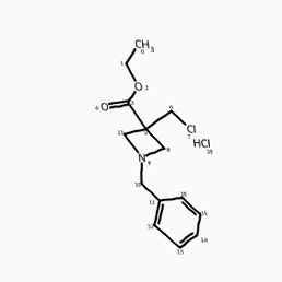 CCOC(=O)C1(CCl)CN(Cc2ccccc2)C1.Cl